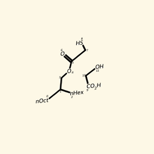 CCCCCCCCC(CCCCCC)COC(=O)CS.O=C(O)CO